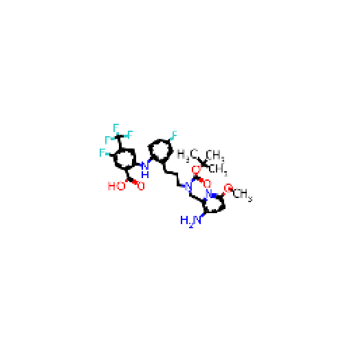 COc1ccc(N)c(CN(CCCc2cc(F)ccc2Nc2cc(C(F)(F)F)c(F)cc2C(=O)O)C(=O)OC(C)(C)C)n1